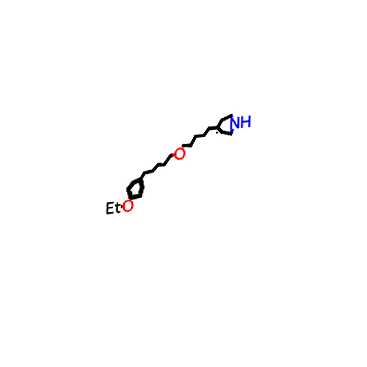 CCOc1ccc(CCCCCOCCCCCC2[CH]CNCC2)cc1